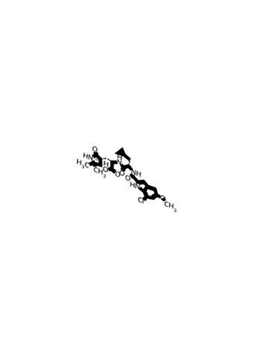 COc1cc(Cl)c2[nH]c(C(=O)N[C@@H](CC3CC3)C(=O)N[C@@H](C[C@@H]3CC(C)(C)NC3=O)C(=O)O)cc2c1